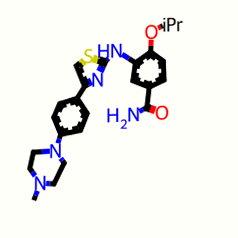 CC(C)Oc1ccc(C(N)=O)cc1Nc1nc(-c2ccc(N3CCN(C)CC3)cc2)cs1